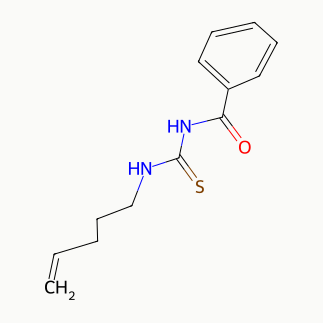 C=CCCCNC(=S)NC(=O)c1ccccc1